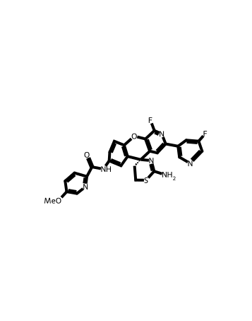 COc1ccc(C(=O)Nc2ccc3c(c2)[C@@]2(CCSC(N)=N2)c2cc(-c4cncc(F)c4)nc(F)c2O3)nc1